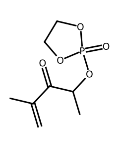 C=C(C)C(=O)C(C)OP1(=O)OCCO1